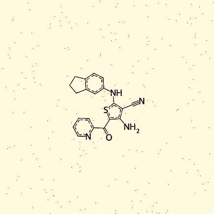 N#Cc1c(Nc2ccc3c(c2)CCC3)sc(C(=O)c2ccccn2)c1N